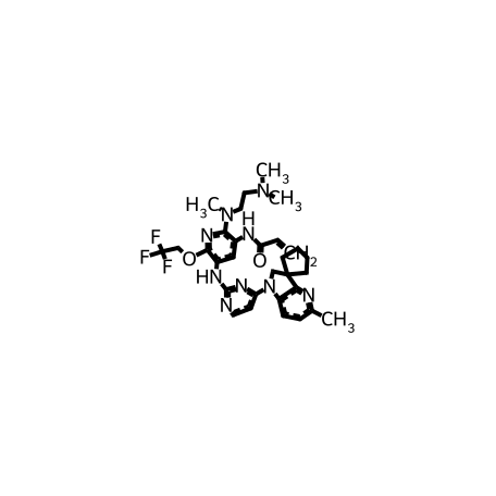 C=CC(=O)Nc1cc(Nc2nccc(N3CC4(CCCC4)c4nc(C)ccc43)n2)c(OCC(F)(F)F)nc1N(C)CCN(C)C